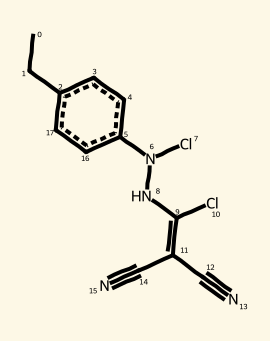 CCc1ccc(N(Cl)NC(Cl)=C(C#N)C#N)cc1